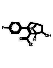 CCC(=O)C1=C(c2ccc(F)cc2)CC2CC(O)[C@H]1N2